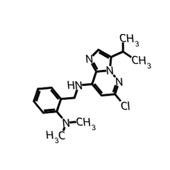 CC(C)c1cnc2c(NCc3ccccc3N(C)C)cc(Cl)nn12